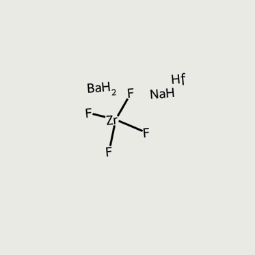 [BaH2].[F][Zr]([F])([F])[F].[Hf].[NaH]